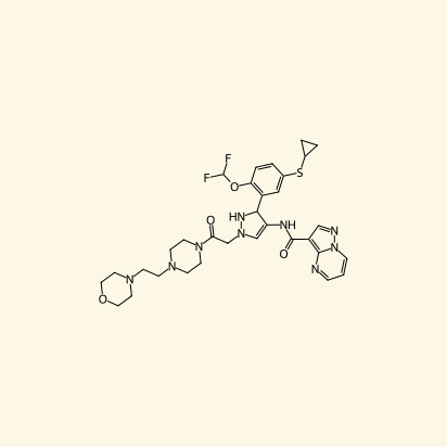 O=C(NC1=CN(CC(=O)N2CCN(CCN3CCOCC3)CC2)NC1c1cc(SC2CC2)ccc1OC(F)F)c1cnn2cccnc12